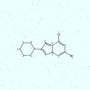 Clc1cc(Br)cn2cc(C3CCOCC3)nc12